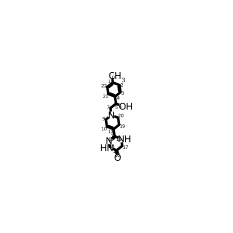 Cc1ccc(C(O)CN2CC=C(C3=NNC(=O)CN3)CC2)cc1